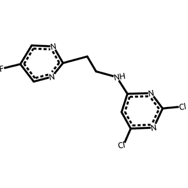 Fc1cnc(CCNc2cc(Cl)nc(Cl)n2)nc1